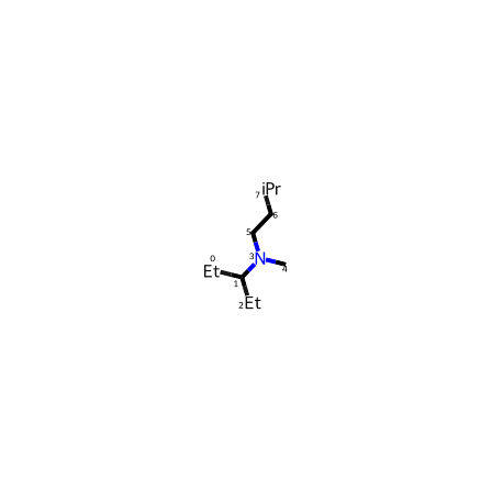 CCC(CC)N(C)CCC(C)C